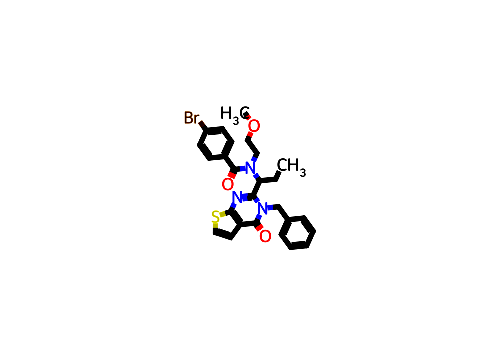 CCC(c1nc2sccc2c(=O)n1Cc1ccccc1)N(CCOC)C(=O)c1ccc(Br)cc1